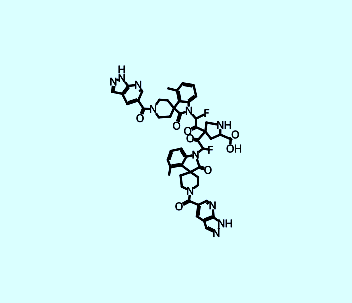 Cc1cccc2c1C1(CCN(C(=O)c3cnc4[nH]ncc4c3)CC1)C(=O)N2C(F)C(=O)C1(C(=O)C(F)N2C(=O)C3(CCN(C(=O)c4cnc5[nH]ncc5c4)CC3)c3c(C)cccc32)CNC(C(=O)O)C1